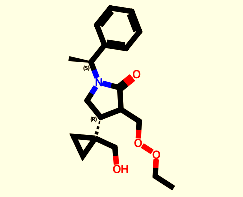 CCOOCC1C(=O)N([C@@H](C)c2ccccc2)C[C@H]1C1(CO)CC1